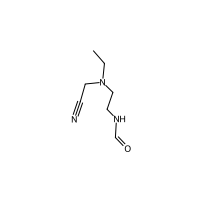 CCN(CC#N)CCNC=O